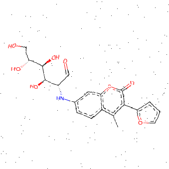 Cc1c(-c2ccco2)c(=O)oc2cc(N[C@@H](C=O)[C@@H](O)[C@H](O)[C@H](O)CO)ccc12